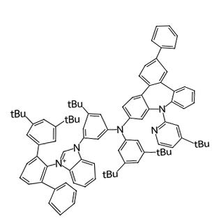 CC(C)(C)c1cc(N(c2cc(C(C)(C)C)cc(C(C)(C)C)c2)c2ccc3c(c2)N(c2cc(C(C)(C)C)ccn2)c2ccccc2-c2cc(-c4ccccc4)ccc2-3)cc(-n2c[n+](-c3c(-c4ccccc4)cccc3-c3cc(C(C)(C)C)cc(C(C)(C)C)c3)c3ccccc32)c1